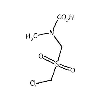 CN(CS(=O)(=O)CCl)C(=O)O